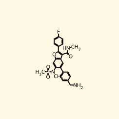 CNC(=O)c1c(-c2ccc(F)cc2)oc2cc(N(C)S(C)(=O)=O)c(-c3ccc(CN)cc3)cc12